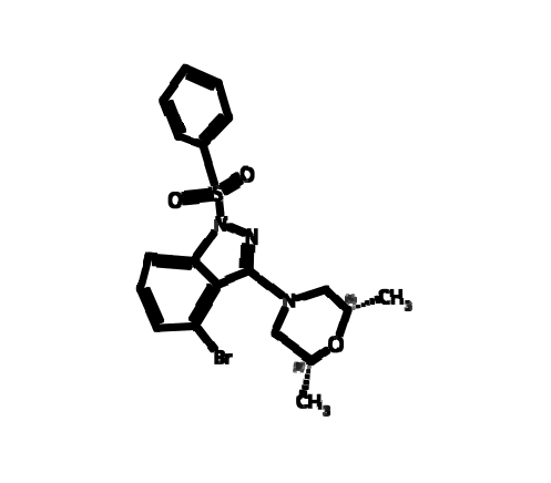 C[C@@H]1CN(c2nn(S(=O)(=O)c3ccccc3)c3cccc(Br)c23)C[C@H](C)O1